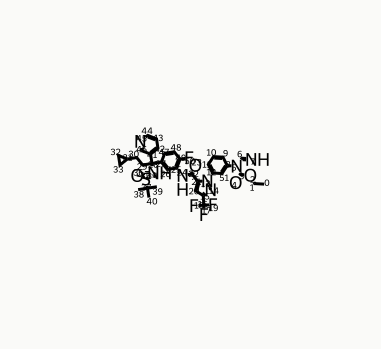 CCOC(=O)N(C=N)c1cccc(-n2nc(C(F)(F)F)cc2C(=O)Nc2cc(C(CCC3CC3)(N[S@+]([O-])C(C)(C)C)c3cccnc3)ccc2F)c1